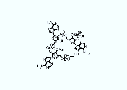 COC1[C@@H](COP(=O)(O)O[C@H]2C(O)[C@@H](COP(=O)(O)O[C@H]3C(OC)[C@@H](COP(=O)(O)OCCO)O[C@H]3n3cnc4c(N)ncnc43)O[C@H]2n2cnc3c(N)ncnc32)O[C@@H](n2cnc3c(N)ncnc32)[C@H]1OP(=O)(O)S